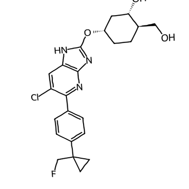 OC[C@H]1CC[C@H](Oc2nc3nc(-c4ccc(C5(CF)CC5)cc4)c(Cl)cc3[nH]2)C[C@@H]1O